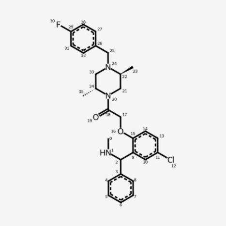 CNC(c1ccccc1)c1cc(Cl)ccc1OCC(=O)N1C[C@H](C)N(Cc2ccc(F)cc2)C[C@H]1C